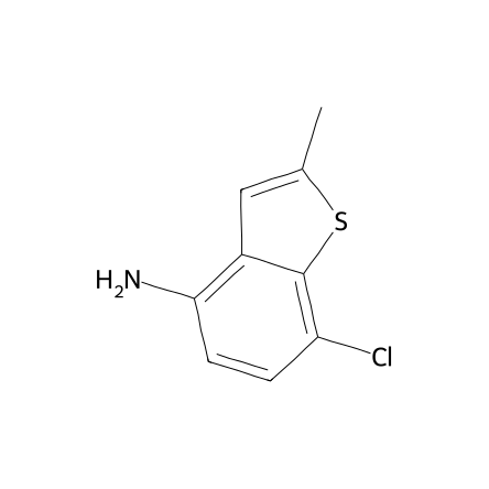 Cc1cc2c(N)ccc(Cl)c2s1